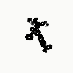 O=C(C1CC1)N1CCC2(CC1)CCN(C1CCN(C(=O)c3cc(C(F)(F)F)cc(C(F)(F)F)c3)C(Cc3ccccc3)C1)CC2